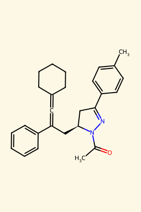 CC(=O)N1N=C(c2ccc(C)cc2)C[C@@H]1CC(=C=C1CCCCC1)c1ccccc1